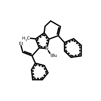 CC/C=C(/c1ccccc1)c1c(C)c2c(n1C(C)(C)C)C(c1ccccc1)=CCC2